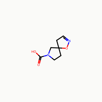 O=C(O)N1CCC2(CC=NO2)C1